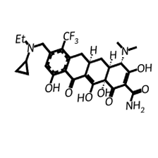 CCN(Cc1cc(O)c2c(c1C(F)(F)F)C[C@H]1C[C@H]3[C@H](N(C)C)C(O)=C(C(N)=O)C(=O)[C@@]3(O)C(O)=C1C2=O)C1CC1